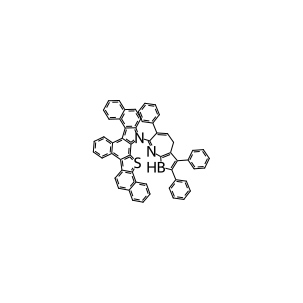 B1C2=C(CC=C(c3ccccc3)C(n3c4ccc5ccccc5c4c4c5ccccc5c5c6ccc7ccccc7c6sc5c43)=N2)C(c2ccccc2)=C1c1ccccc1